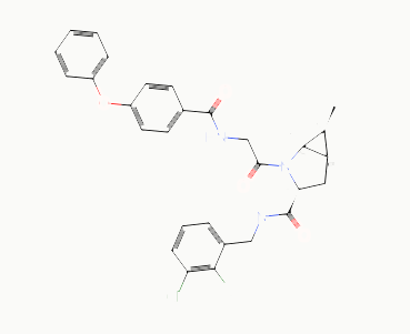 C[C@@H]1[C@@H]2N(C(=O)CNC(=O)c3ccc(Oc4ccccc4)cc3)[C@H](C(=O)NCc3cccc(Cl)c3Cl)C[C@]12C